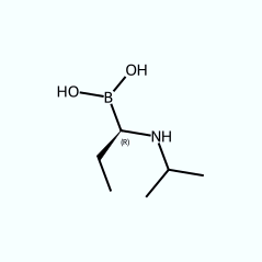 CC[C@H](NC(C)C)B(O)O